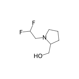 OCC1CCCN1CC(F)F